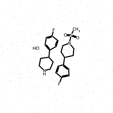 CS(=O)(=O)N1CCC(c2ccc(F)cc2)CC1.Cl.Fc1ccc(C2CCNCC2)cc1